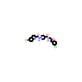 O=C(NN1CCC(C(=O)NCc2cc3cc(Cl)ccc3o2)CC1)c1ccc2cc(Cl)ccc2n1